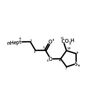 CCCCCCCCCC(=O)OC1CSCC1C(=O)O